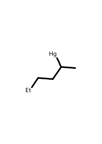 CCCC[CH](C)[Hg]